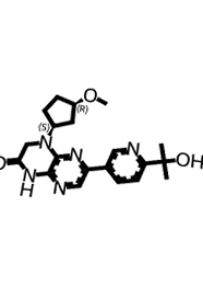 CO[C@@H]1CC[C@H](N2CC(=O)Nc3ncc(-c4ccc(C(C)(C)O)nc4)nc32)C1